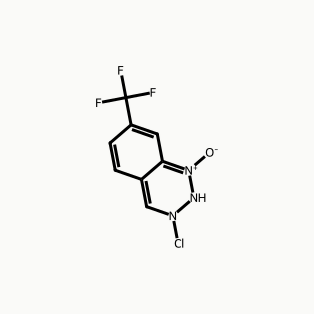 [O-][N+]1=c2cc(C(F)(F)F)ccc2=CN(Cl)N1